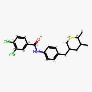 CC1[C]C(Cc2ccc(NC(=O)c3ccc(Cl)c(Cl)c3)cc2)CSC1C